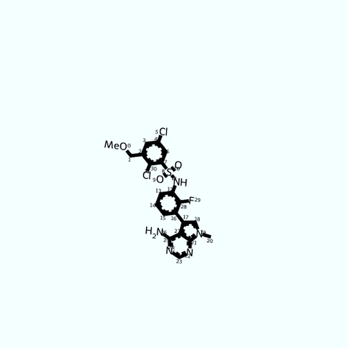 COCc1cc(Cl)cc(S(=O)(=O)Nc2cccc(-c3cn(C)c4ncnc(N)c34)c2F)c1Cl